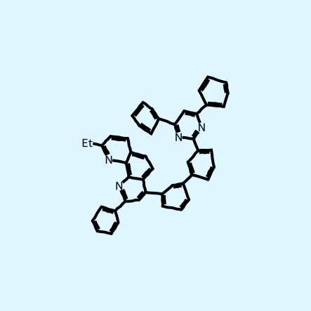 CCc1ccc2ccc3c(-c4cccc(-c5cccc(-c6nc(-c7ccccc7)cc(-c7ccccc7)n6)c5)c4)cc(-c4ccccc4)nc3c2n1